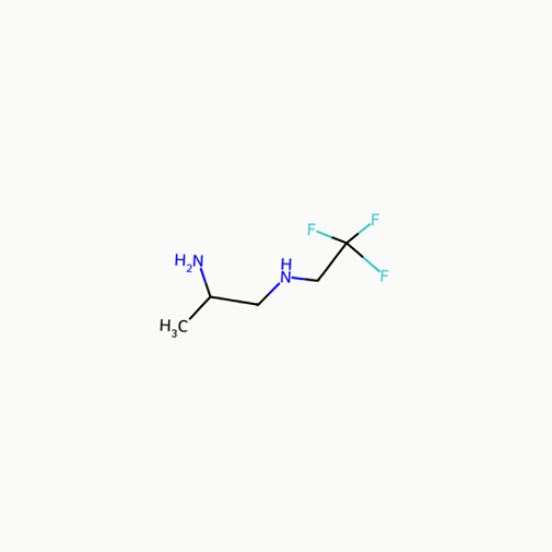 CC(N)CNCC(F)(F)F